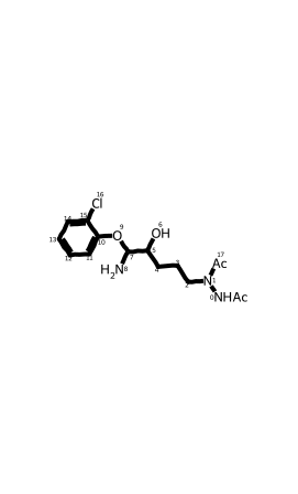 CC(=O)NN(CCCC(O)C(N)Oc1ccccc1Cl)C(C)=O